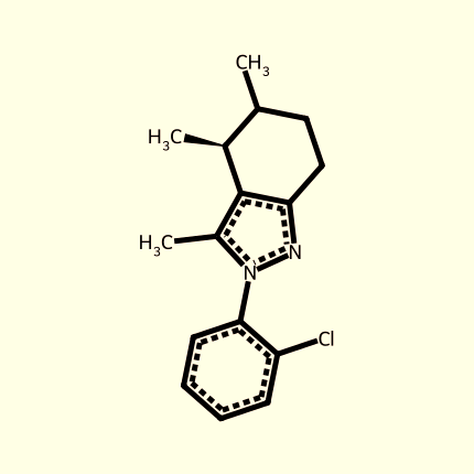 Cc1c2c(nn1-c1ccccc1Cl)CCC(C)[C@@H]2C